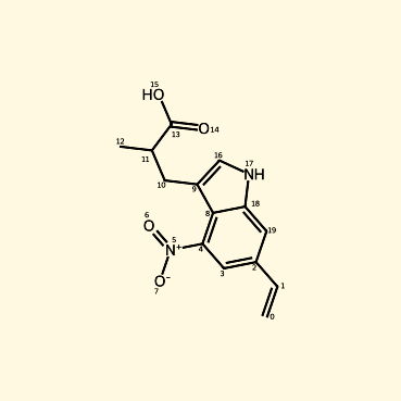 C=Cc1cc([N+](=O)[O-])c2c(CC(C)C(=O)O)c[nH]c2c1